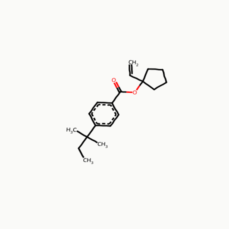 C=CC1(OC(=O)c2ccc(C(C)(C)CC)cc2)CCCC1